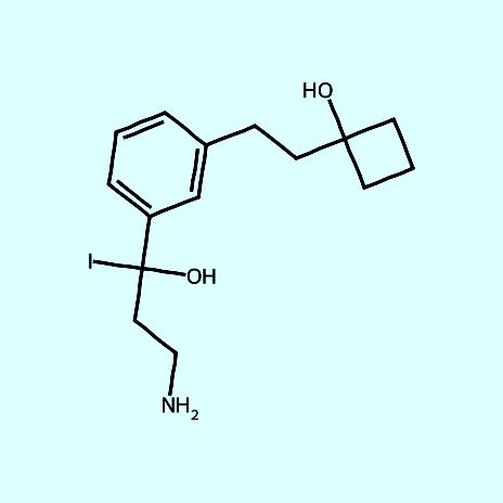 NCCC(O)(I)c1cccc(CCC2(O)CCC2)c1